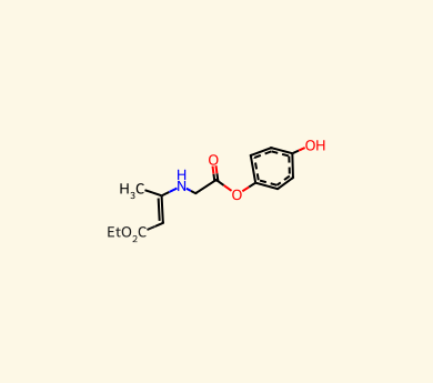 CCOC(=O)C=C(C)NCC(=O)Oc1ccc(O)cc1